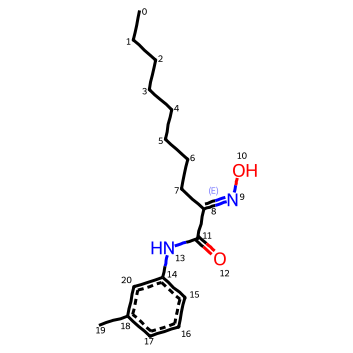 CCCCCCCC/C(=N\O)C(=O)Nc1cccc(C)c1